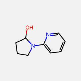 OC1CCCN1c1ccccn1